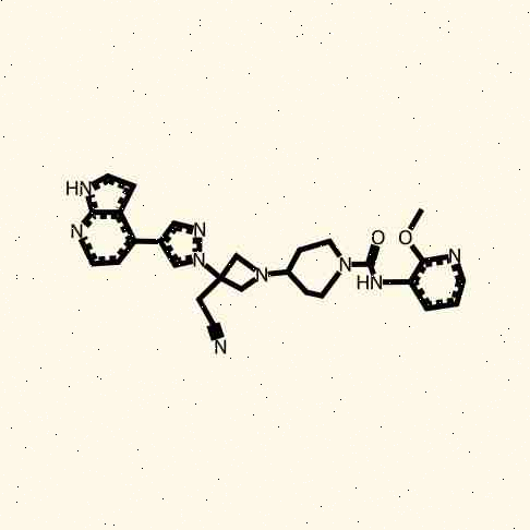 COc1ncccc1NC(=O)N1CCC(N2CC(CC#N)(n3cc(-c4ccnc5[nH]ccc45)cn3)C2)CC1